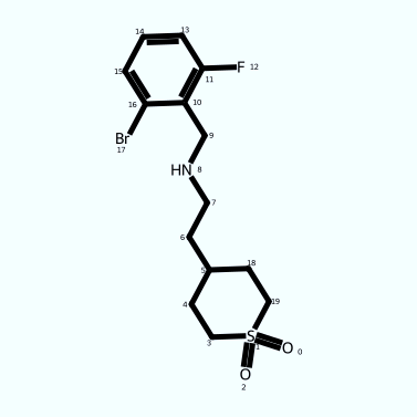 O=S1(=O)CCC(CCNCc2c(F)cccc2Br)CC1